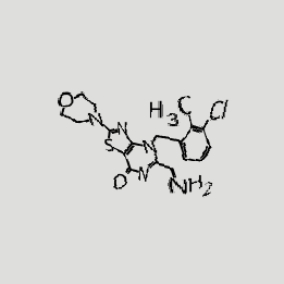 Cc1c(Cl)cccc1Cn1c(CN)nc(=O)c2sc(N3CCOCC3)nc21